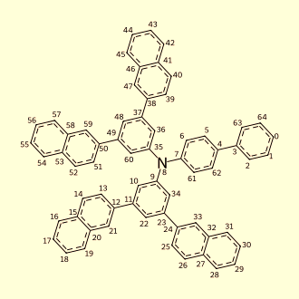 c1ccc(-c2ccc(N(c3cc(-c4ccc5ccccc5c4)cc(-c4ccc5ccccc5c4)c3)c3cc(-c4ccc5ccccc5c4)cc(-c4ccc5ccccc5c4)c3)cc2)cc1